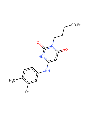 CCOC(=O)CCCn1c(=O)cc(Nc2ccc(C)c(CC)c2)[nH]c1=O